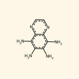 Nc1c(N)c(N)c2nccnc2c1N